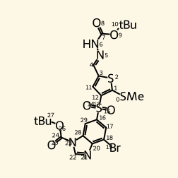 CSc1sc(C=NNC(=O)OC(C)(C)C)cc1S(=O)(=O)c1cc(Br)c2ncn(C(=O)OC(C)(C)C)c2c1